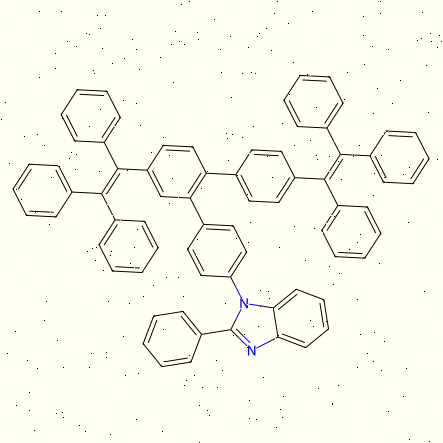 c1ccc(C(=C(c2ccccc2)c2ccc(-c3ccc(C(=C(c4ccccc4)c4ccccc4)c4ccccc4)cc3-c3ccc(-n4c(-c5ccccc5)nc5ccccc54)cc3)cc2)c2ccccc2)cc1